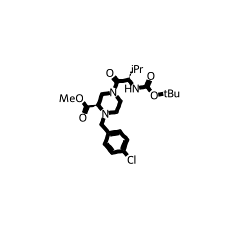 COC(=O)[C@H]1CN(C(=O)[C@@H](NC(=O)OC(C)(C)C)C(C)C)CCN1Cc1ccc(Cl)cc1